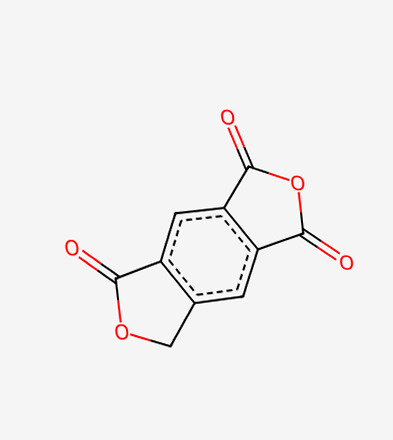 O=C1OCc2cc3c(cc21)C(=O)OC3=O